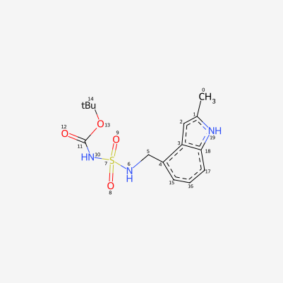 Cc1cc2c(CNS(=O)(=O)NC(=O)OC(C)(C)C)cccc2[nH]1